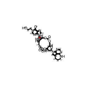 O=C1OC[C@H]2O[C@@H](n3cc4c5c(ncnc53)NCCC4)C[C@@H]2OP(=O)(O)OC[C@H]2O[C@@H](n3cnc4c(=O)n(CCO)cnc43)[C@H](O1)[C@@H]2O